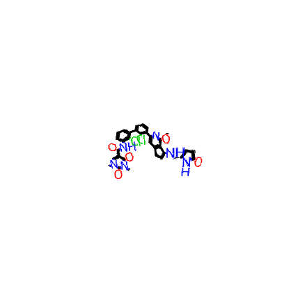 COc1nc(-c2cccc(-c3cccc(NC(=O)c4cn(C)c(=O)n(C)c4=O)c3Cl)c2Cl)cc2c1[C@@H](NC[C@@H]1CCC(=O)N1)CC2